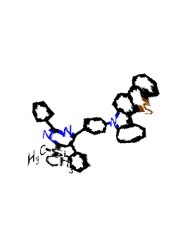 C[Si]1(C)c2ccccc2-c2c(-c3ccc(-n4c5ccccc5c5c6sc7ccccc7c6ccc54)cc3)nc(-c3ccccc3)nc21